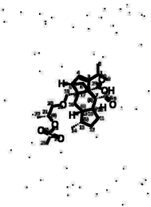 CC(C)C1=C[C@@H]2C[C@@]3(C=O)[C@H]4CC[C@H](C)[C@@H]4C[C@]2(COC[C@@H](C)OS(C)(=O)=O)[C@@]13C(=O)O